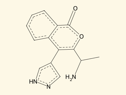 CC(N)c1oc(=O)c2ccccc2c1-c1cn[nH]c1